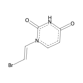 O=c1ccn(C=CBr)c(=O)[nH]1